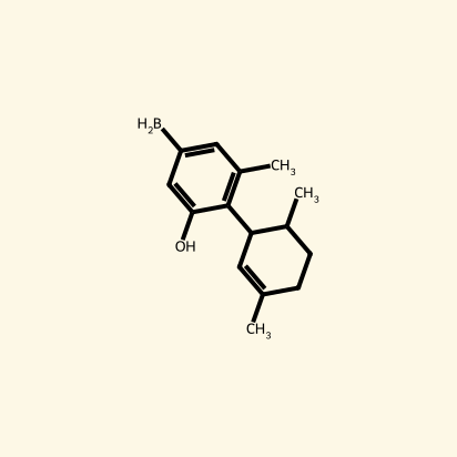 Bc1cc(C)c(C2C=C(C)CCC2C)c(O)c1